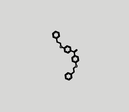 C=C(c1ccc(OCCc2ccccc2)cc1)c1ccc(OCCc2ccccc2)cc1